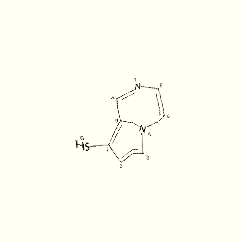 Sc1ccn2ccncc12